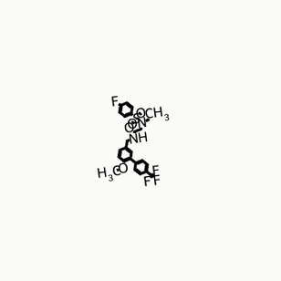 CCN(CC(=O)NCc1ccc(OC)c(-c2ccc(C(F)(F)F)cc2)c1)S(=O)(=O)c1ccc(F)cc1